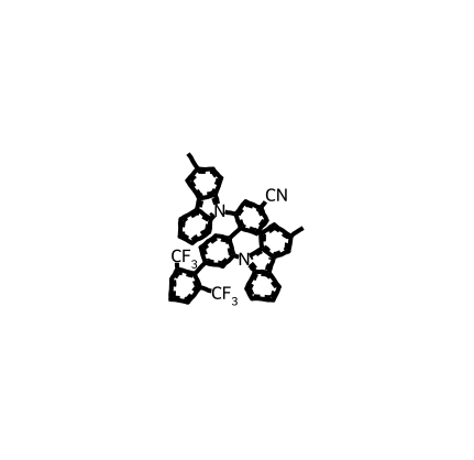 Cc1ccc2c(c1)c1ccccc1n2-c1cc(C#N)ccc1-c1ccc(-c2c(C(F)(F)F)cccc2C(F)(F)F)cc1-n1c2ccccc2c2cc(C)ccc21